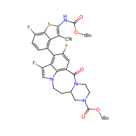 CC(C)(C)OC(=O)Nc1sc2c(F)ccc(-c3c(F)cc4c5c3c(F)cn5CCC3CN(C(=O)OC(C)(C)C)CCN3C4=O)c2c1C#N